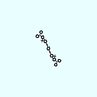 CC1(C)c2cc(C#Cc3ccc(C#Cc4ccc5c(c4)C(C)(C)c4cc(N(c6ccccc6)c6ccccc6)ccc4-5)cc3)ccc2-c2ccc(N(c3ccccc3)c3ccccc3)cc21